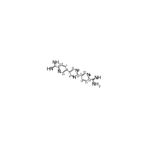 N=C(N)c1ccc(-c2cnc(-c3ccc(C(=N)N)nc3)nc2)cn1